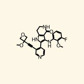 COc1c(F)cccc1Nc1c(-c2ccncc2C#CC2(OC)COC2)[nH]c2c1C(=O)NCC2